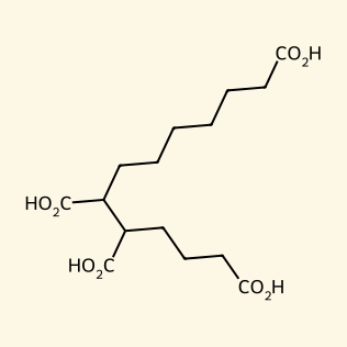 O=C(O)CCCCCCC(C(=O)O)C(CCCC(=O)O)C(=O)O